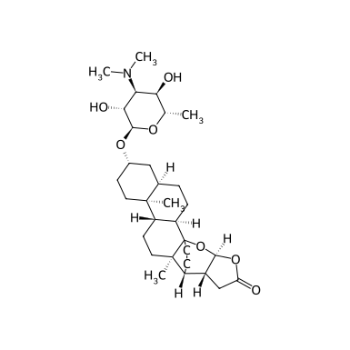 C[C@@H]1O[C@@H](O[C@H]2CC[C@@]3(C)[C@H](CC[C@@H]4[C@@H]3CC[C@]3(C)[C@@H]5CCC43O[C@H]3OC(=O)C[C@@H]35)C2)[C@H](O)[C@@H](N(C)C)[C@H]1O